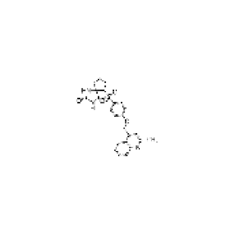 Cc1cc(COc2ccc(S(=O)(=O)C3CCCC34NC(=O)NC4=O)cc2)c2ccccc2n1